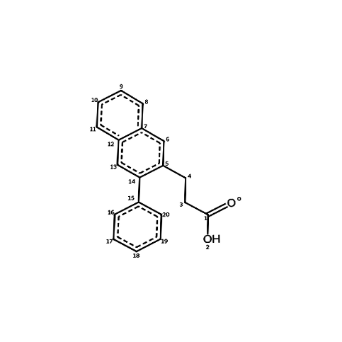 O=C(O)CCc1cc2ccccc2cc1-c1ccccc1